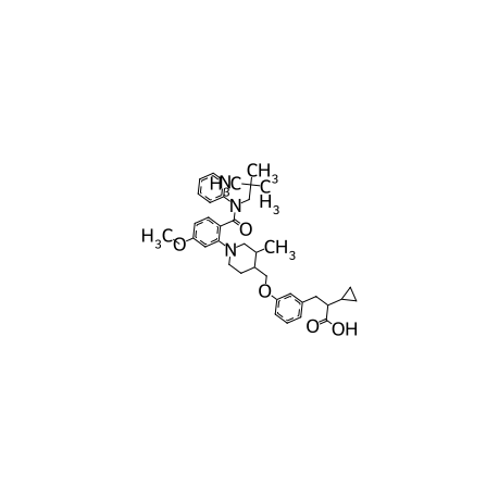 COc1ccc(C(=O)N(CC(C)(C)C)c2ccccn2)c(N2CCC(COc3cccc(CC(C(=O)O)C4CC4)c3)C(C)C2)c1